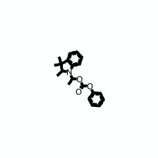 CC(OC(=O)Oc1ccccc1)N1c2ccccc2C(C)(C)C1C